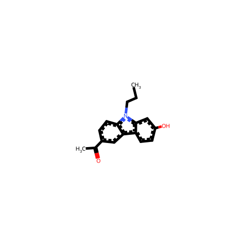 CCCn1c2ccc(C(C)=O)cc2c2ccc(O)cc21